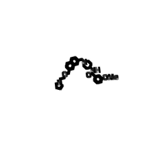 COc1cccc(C(=O)NC2CCN(Cc3ccc4ccc(COCCN5CCCC5)cc4c3)CC2)c1